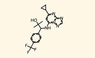 CC(C)(O)C(Nc1cc(C2CC2)nc2ncnn12)c1ccc(C(F)(F)F)cc1